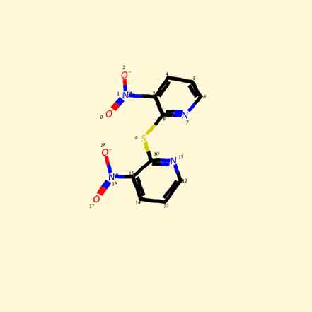 O=[N+]([O-])c1cccnc1Sc1ncccc1[N+](=O)[O-]